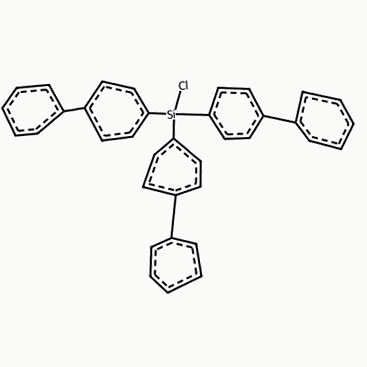 Cl[Si](c1ccc(-c2ccccc2)cc1)(c1ccc(-c2ccccc2)cc1)c1ccc(-c2ccccc2)cc1